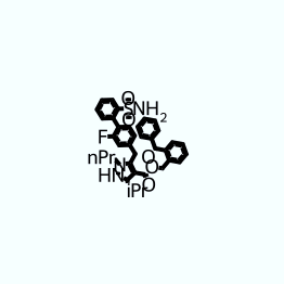 CCCN1NC(C(C)C)C(C(=O)OCc2ccccc2C(=O)c2ccccc2)=C1Cc1ccc(-c2ccccc2S(N)(=O)=O)c(F)c1